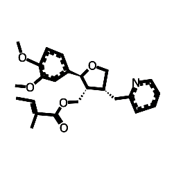 CC=C(C)C(=O)OC[C@H]1[C@@H](Cc2ccccn2)CO[C@@H]1c1ccc(OC)c(OC)c1